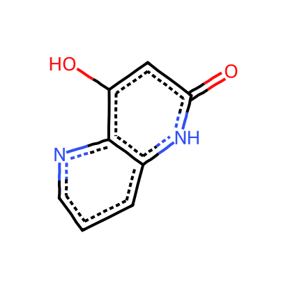 O=c1cc(O)c2ncccc2[nH]1